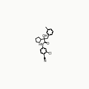 Cc1cccc(CC(O)(C(=O)Nc2ccc(C#N)c(Cl)c2)C2CCCC2)c1